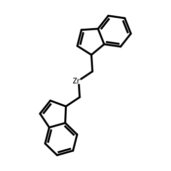 C1=CC([CH2][Zr][CH2]C2C=Cc3ccccc32)c2ccccc21